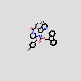 O=C(O)CC(C(=O)N1CCC[C@](Cc2ccc(Cl)cc2)(NC(=O)OCC2c3ccccc3-c3ccccc32)C1)[C@H]1CCc2ncccc21